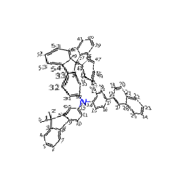 CC1(C)c2ccccc2-c2ccc(N(c3ccc(-c4ccc5ccccc5c4)cc3)c3ccc4c(c3)C(c3ccccc3)(c3ccccc3)c3ccccc3-4)cc21